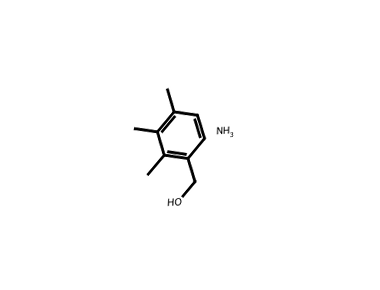 Cc1ccc(CO)c(C)c1C.N